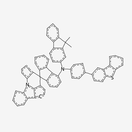 CC1(C)c2ccccc2-c2ccc(N(c3ccc(-c4ccc5sc6ccccc6c5c4)cc3)c3cccc4c3-c3ccccc3C43c4ccccc4-n4c5ccccc5c5cccc3c54)cc21